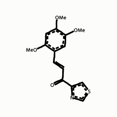 COc1cc(OC)c(OC)cc1C=CC(=O)c1cscn1